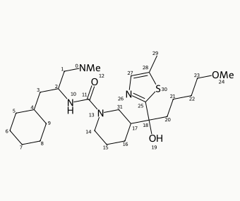 CNCC(CC1CCCCC1)NC(=O)N1CCCC(C(O)(CCCCOC)c2ncc(C)s2)C1